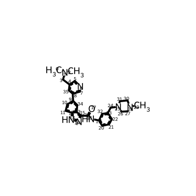 CN(C)Cc1cncc(-c2ccc3[nH]nc(C(=O)Nc4cccc(CN5CCN(C)CC5)c4)c3c2)c1